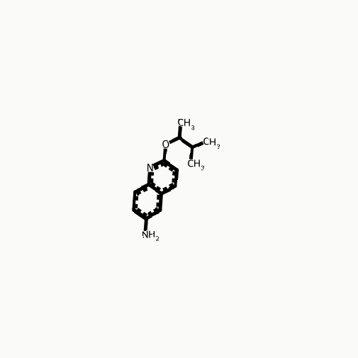 CC(C)C(C)Oc1ccc2cc(N)ccc2n1